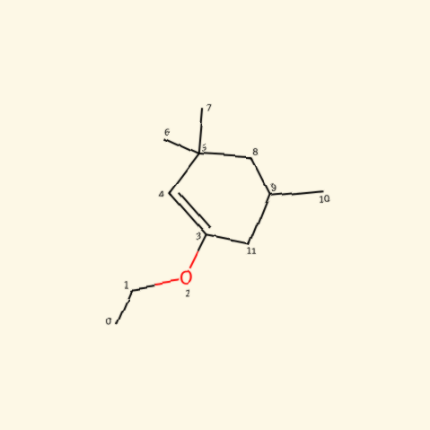 CCOC1=CC(C)(C)CC(C)C1